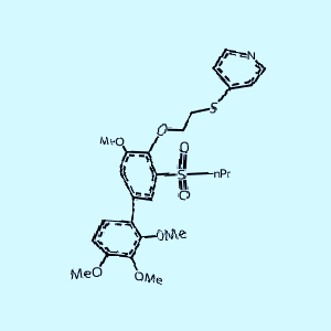 CCCS(=O)(=O)c1cc(-c2ccc(OC)c(OC)c2OC)cc(OC)c1OCCSc1ccncc1